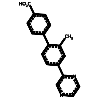 Cc1cc(-c2cnccn2)ccc1-c1ccc(C(=O)O)cc1